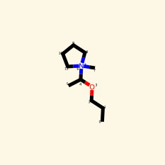 CCCOC(C)[N+]1(C)CCCC1